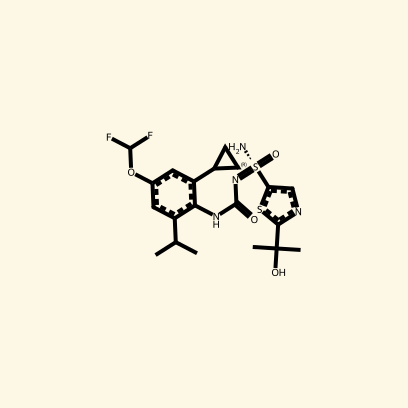 CC(C)c1cc(OC(F)F)cc(C2CC2)c1NC(=O)N=[S@@](N)(=O)c1cnc(C(C)(C)O)s1